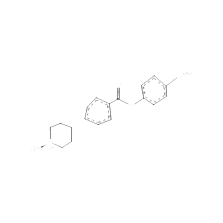 CCC[Si@H]1CC[C@H](c2ccc(C(=O)Oc3ccc(OC)cc3)cc2)CC1